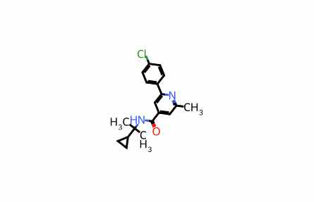 Cc1cc(C(=O)NC(C)(C)C2CC2)cc(-c2ccc(Cl)cc2)n1